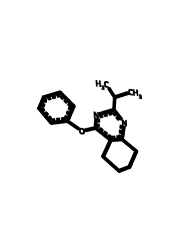 CC(C)c1nc2c(c(Oc3ccccc3)n1)CCCC2